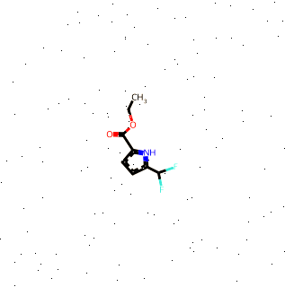 CCOC(=O)c1ccc(C(F)F)[nH]1